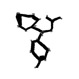 Cc1ccc(N(CC(C)C)C2C=CC=CC2)cc1